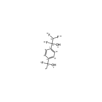 CC(O)(F)c1ccc(C(O)(F)C(F)F)cc1